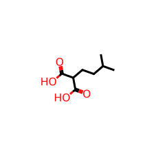 CC(C)CCC(C(=O)O)C(=O)O